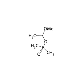 COC(C)OP(C)(C)=O